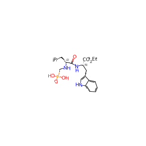 CCOC(=O)[C@H](Cc1c[nH]c2ccccc12)NC(=O)[C@H](CC(C)C)NCP(=O)(O)O